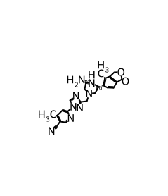 Cc1cc(-n2cnc(CN3C[C@@H](c4ccc5c(c4C)COC5=O)N[C@@H](N)C3)n2)ncc1C#N